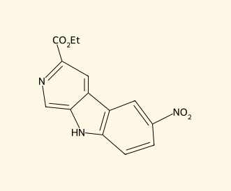 CCOC(=O)c1cc2c(cn1)[nH]c1ccc([N+](=O)[O-])cc12